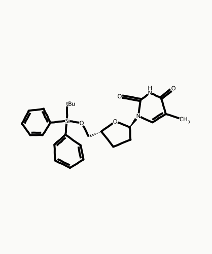 Cc1cn([C@H]2CC[C@H](CO[Si](c3ccccc3)(c3ccccc3)C(C)(C)C)O2)c(=O)[nH]c1=O